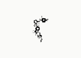 O=C1C(=O)N(Cc2cn(CF)nn2)c2ccc(S(=O)(=O)N3CCC[C@H]3COc3ccc(F)cc3F)cc21